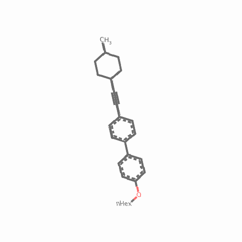 CCCCCCOc1ccc(-c2ccc(C#CC3CCC(C)CC3)cc2)cc1